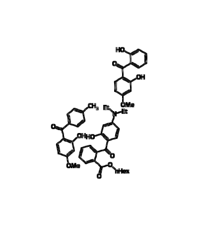 CCCCCCOC(=O)c1ccccc1C(=O)c1ccc(N(CC)CC)cc1O.COc1ccc(C(=O)c2ccc(C)cc2)c(O)c1.COc1ccc(C(=O)c2ccccc2O)c(O)c1